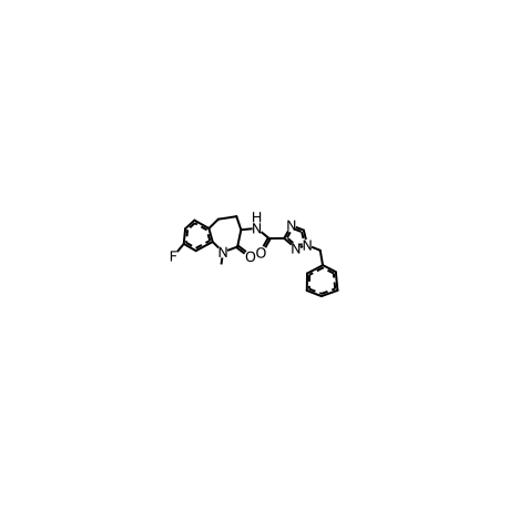 CN1C(=O)C(NC(=O)c2ncn(Cc3ccccc3)n2)CCc2ccc(F)cc21